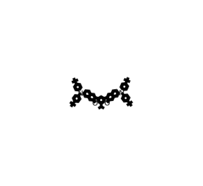 CC(C)c1c2oc3cc4cc(N(c5ccc(C(C)(C)C)cc5)c5ccc(C(C)(C)C)cc5)ccc4cc3c2cc2c1oc1cc3cc(N(c4ccc(C(C)(C)C)cc4)c4ccc(C(C)(C)C)cc4)ccc3cc12